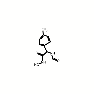 Cc1ccc(C(NC=O)C(=O)NO)cc1